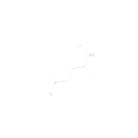 CCNC(C)COC(N)=O